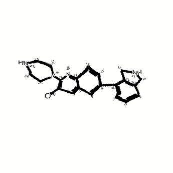 Clc1cc2cc(-c3cccc4c3CNC4)ccc2nc1N1CCNCC1